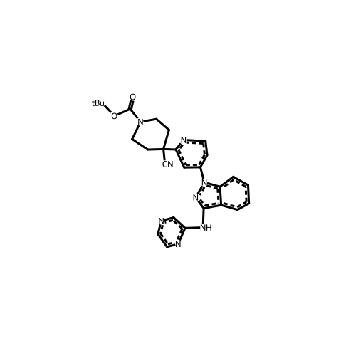 CC(C)(C)OC(=O)N1CCC(C#N)(c2cc(-n3nc(Nc4cnccn4)c4ccccc43)ccn2)CC1